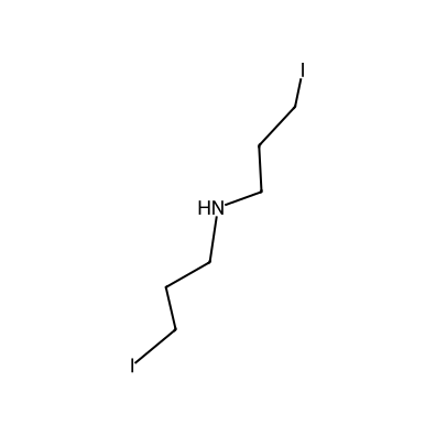 ICCCNCCCI